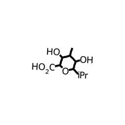 CC(C)C1OC(C(=O)O)C(O)C(C)C1O